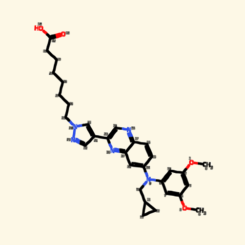 COc1cc(OC)cc(N(CC2CC2)c2ccc3ncc(-c4cnn(CCCCCCCC(=O)O)c4)nc3c2)c1